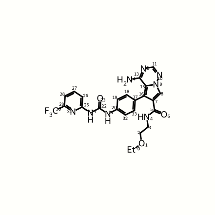 CCOCCNC(=O)c1cn2ncnc(N)c2c1-c1ccc(NC(=O)Nc2cccc(C(F)(F)F)n2)cc1